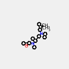 CC1(C)c2ccccc2-c2ccc(N(c3ccc(-c4ccc(N(c5ccccc5)c5ccc6c(c5)oc5ccccc56)c5ccccc45)cc3)c3cccc4ccccc34)cc21